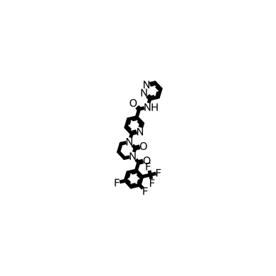 O=C(Nc1cccnn1)c1ccc(N2CCCN(C(=O)c3cc(F)cc(F)c3C(F)(F)F)C2=O)nc1